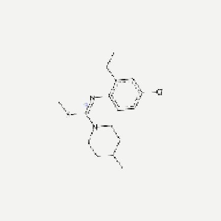 CCc1cc(Cl)ccc1/N=C(/SC)N1CCC(C)CC1